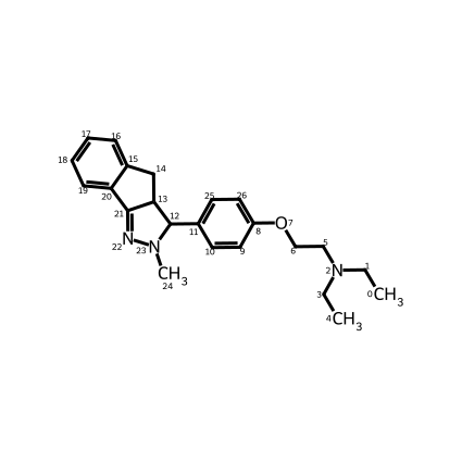 CCN(CC)CCOc1ccc(C2C3Cc4ccccc4C3=NN2C)cc1